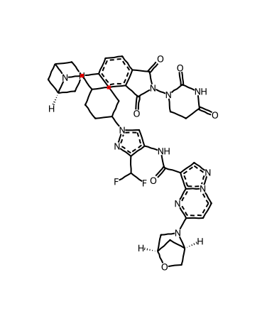 O=C1CCN(N2C(=O)c3ccc(N4CC5C[C@H](C4)N5CC4CCC(n5cc(NC(=O)c6cnn7ccc(N8C[C@H]9C[C@@H]8CO9)nc67)c(C(F)F)n5)CC4)cc3C2=O)C(=O)N1